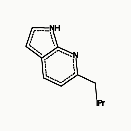 CC(C)Cc1ccc2cc[nH]c2n1